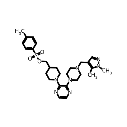 Cc1ccc(S(=O)(=O)OCC2CCN(c3nccnc3N3CCN(Cc4cnn(C)c4C)CC3)CC2)cc1